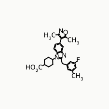 Cc1cc(F)cc(Cc2nc3cc(-c4c(C)noc4C)ccc3n2C2CCC(C(=O)O)CC2)c1